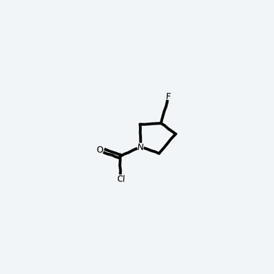 O=C(Cl)N1CCC(F)C1